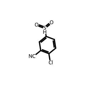 N#Cc1cc([SH](=O)=O)ccc1Cl